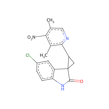 Cc1cnc(C2CC23C(=O)Nc2ccc(Cl)cc23)c(C)c1[N+](=O)[O-]